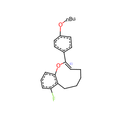 CCCCOc1ccc(/C2=C\CCCCc3c(F)cccc3O2)cc1